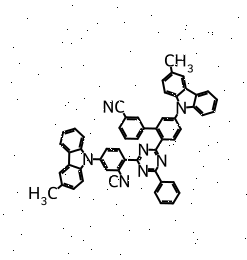 Cc1ccc2c(c1)c1ccccc1n2-c1ccc(-c2nc(-c3ccccc3)nc(-c3ccc(-n4c5ccccc5c5cc(C)ccc54)cc3-c3cccc(C#N)c3)n2)c(C#N)c1